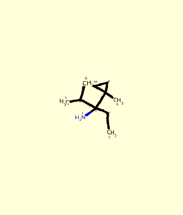 CCC(N)(C(C)C)C1(C)CC1